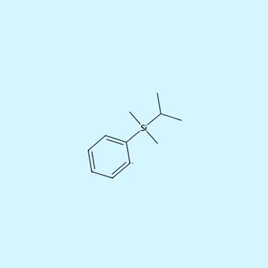 CC(C)[Si](C)(C)c1[c]cccc1